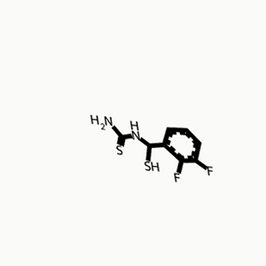 NC(=S)NC(S)c1cccc(F)c1F